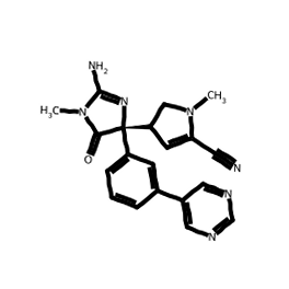 CN1CC([C@]2(c3cccc(-c4cncnc4)c3)N=C(N)N(C)C2=O)C=C1C#N